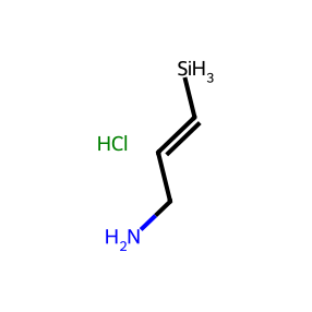 Cl.NCC=C[SiH3]